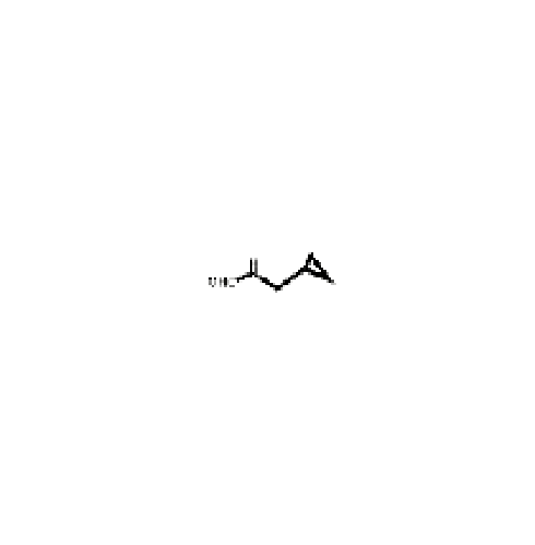 O=[C]NCC1CC1